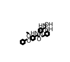 CCOc1cc([C@H](Nc2ccc(C(=N)NO)cc2)C(=O)NCc2ccccc2)ccc1OCc1ccccc1